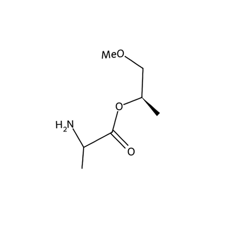 COC[C@@H](C)OC(=O)C(C)N